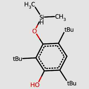 C[SiH](C)Oc1c(C(C)(C)C)cc(C(C)(C)C)c(O)c1C(C)(C)C